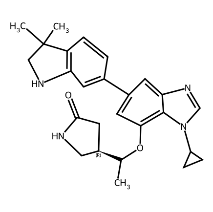 CC(Oc1cc(-c2ccc3c(c2)NCC3(C)C)cc2ncn(C3CC3)c12)[C@H]1CNC(=O)C1